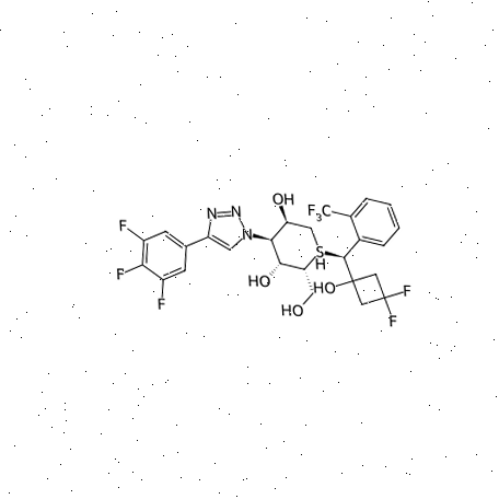 OC[C@@H]1[C@H](O)[C@@H](n2cc(-c3cc(F)c(F)c(F)c3)nn2)[C@@H](O)C[SH]1[C@@H](c1ccccc1C(F)(F)F)C1(O)CC(F)(F)C1